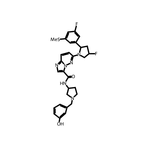 CSc1cc(F)cc(C2CC(F)CN2c2ccc3ncc(C(=O)NC4CCN(Cc5cccc(O)c5)C4)n3n2)c1